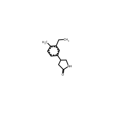 CCc1cc(C2CNC(=O)C2)ccc1C